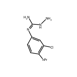 CCCc1ccc(/N=C(/N)NN)cc1Cl